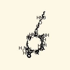 CCCCC(=O)NCCOCCOCCOCC(=O)NC1Cc2cn(nn2)CCCCC(C(N)=O)NC(=O)C(Cc2c[nH]c3ccccc23)NC(=O)C(CC(C)C)NC(=O)C(CC(C)C)NC(=O)C(C)NC(=O)C(Cc2c[nH]cn2)NC1=O